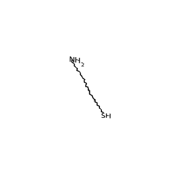 NCCCCCCCCCCCCCCCCCCCCCCCCCCCCS